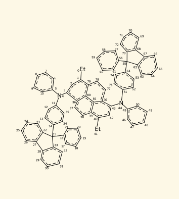 CCc1cc(N(c2ccccc2)c2ccc(C3(c4ccccc4)c4ccccc4-c4ccccc43)cc2)c2ccc3c(CC)cc(N(c4ccccc4)c4ccc(C5(c6ccccc6)c6ccccc6-c6ccccc65)cc4)c4ccc1c2c34